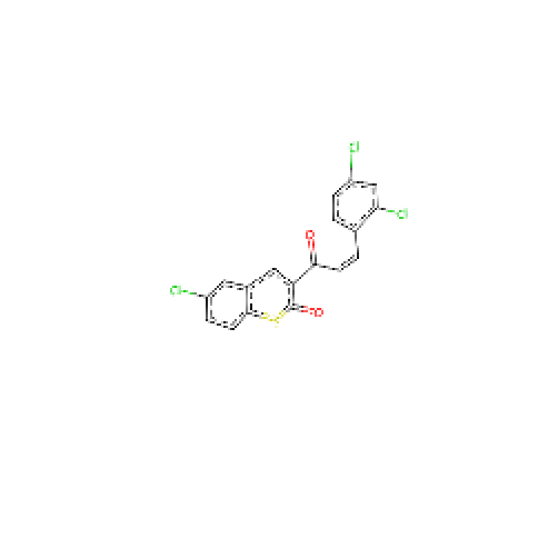 O=C(/C=C\c1ccc(Cl)cc1Cl)c1cc2cc(Cl)ccc2sc1=O